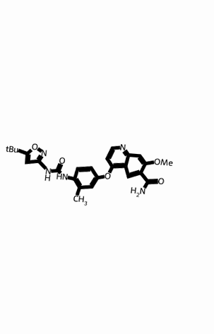 COc1cc2nccc(Oc3ccc(NC(=O)Nc4cc(C(C)(C)C)on4)c(C)c3)c2cc1C(N)=O